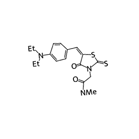 CCN(CC)c1ccc(/C=C2/SC(=S)N(CC(=O)NC)C2=O)cc1